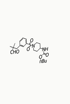 CCCCOC(=O)NC1CCN(S(=O)(=O)c2cccc(CC(C)(C)C=O)c2)CC1